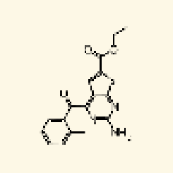 CCOC(=O)c1cc2c(C(=O)c3ccccc3C)nc(N)nc2s1